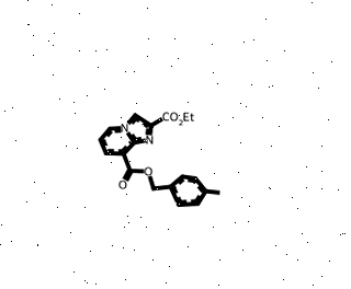 CCOC(=O)c1cn2cccc(C(=O)OCc3ccc(C)cc3)c2n1